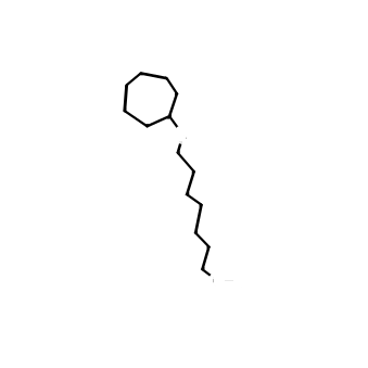 CCCCCCCCSC1CCCCCC1